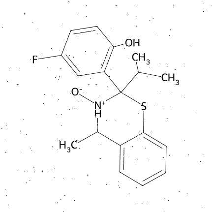 CC1c2ccccc2SC(c2cc(F)ccc2O)(C(C)C)[NH+]1[O-]